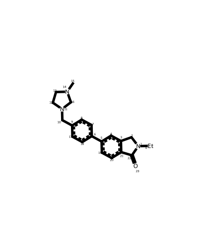 CCN1Cc2cc(-c3ccc(CN4CCN(C)C4)cc3)ccc2C1=O